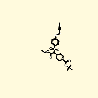 CC#CCOc1ccc(S(=O)(=O)C(C(=O)OCC)C2CCN(C(=O)OC(C)(C)C)CC2)cc1